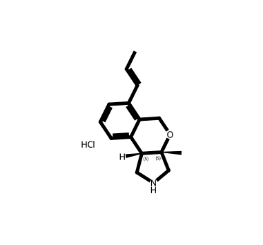 CC=Cc1cccc2c1CO[C@]1(C)CNC[C@H]21.Cl